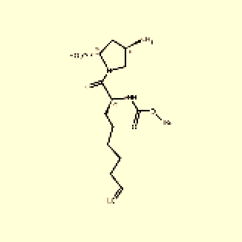 C=CCCCCC[C@H](NC(=O)OC(C)(C)C)C(=O)N1C[C@H](C)C[C@H]1C(=O)O